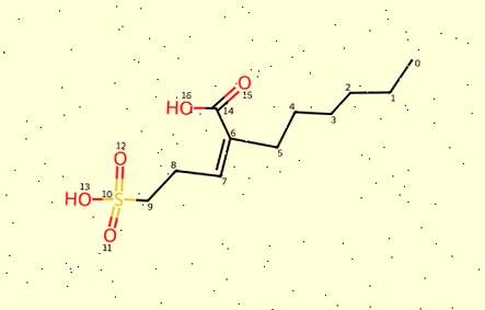 CCCCCCC(=CCCS(=O)(=O)O)C(=O)O